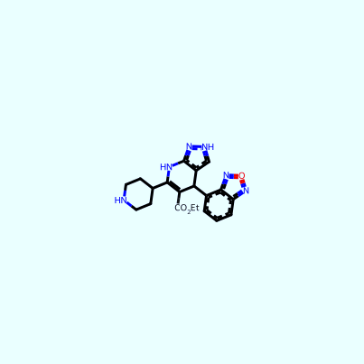 CCOC(=O)C1=C(C2CCNCC2)Nc2n[nH]cc2C1c1cccc2nonc12